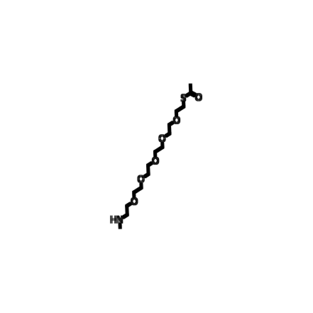 CNCCOCCOCCOCCOCCOCCSC(C)=O